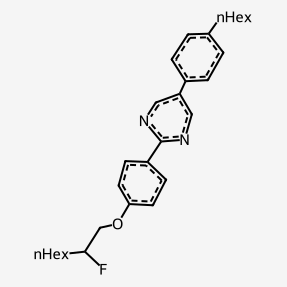 CCCCCCc1ccc(-c2cnc(-c3ccc(OCC(F)CCCCCC)cc3)nc2)cc1